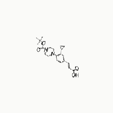 CC(C)(C)OC(=O)N1CCN(c2ccc(/C=C/C(=O)O)cc2C2CC2)CC1